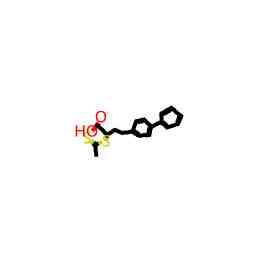 CC(=S)SC(CCc1ccc(-c2ccccc2)cc1)C(=O)O